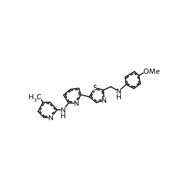 COc1ccc(NCc2ncc(-c3cccc(Nc4cc(C)ccn4)n3)s2)cc1